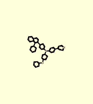 c1ccc(Oc2ccc(N(c3ccc(-c4ccncc4)cc3)c3ccc(-c4ccc5ccccc5c4-c4ccccc4)cc3)cc2)cc1